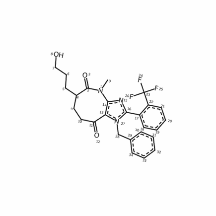 CN1C(=O)C(CCCO)CCC(=O)c2c1nc(-c1ccccc1C(F)(F)F)n2Cc1ccccc1